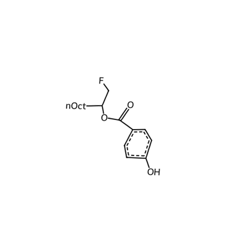 CCCCCCCCC(CF)OC(=O)c1ccc(O)cc1